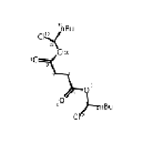 CCCCC(Cl)OC(=O)CCC(=O)OC(Cl)CCCC